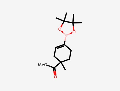 COC(=O)C1(C)CC=C(B2OC(C)(C)C(C)(C)O2)CC1